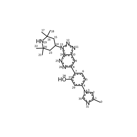 Cc1cn(-c2ccc(-c3cc4nnn(C5CC(C)(C)NC(C)(C)C5)c4nn3)c(O)c2)cn1